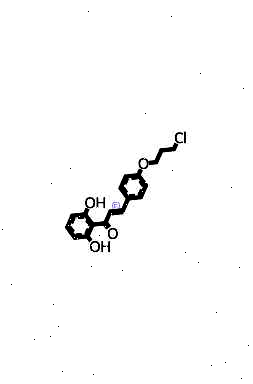 O=C(/C=C/c1ccc(OCCCCl)cc1)c1c(O)cccc1O